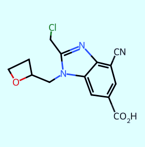 N#Cc1cc(C(=O)O)cc2c1nc(CCl)n2CC1CCO1